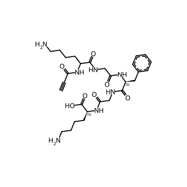 C#CC(=O)NC(CCCCN)C(=O)NCC(=O)N[C@@H](Cc1ccccc1)C(=O)NCC(=O)N[C@@H](CCCCN)C(=O)O